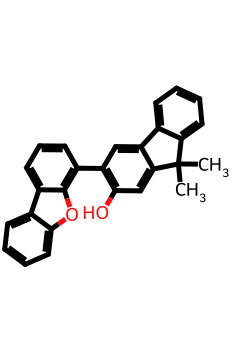 CC1(C)c2ccccc2-c2cc(-c3cccc4c3oc3ccccc34)c(O)cc21